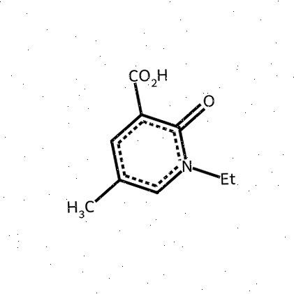 CCn1cc(C)cc(C(=O)O)c1=O